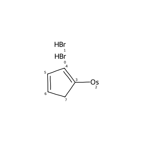 Br.Br.[Os][C]1=CC=CC1